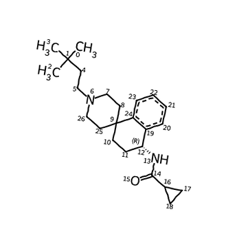 CC(C)(C)CCN1CCC2(CC[C@@H](NC(=O)C3CC3)c3ccccc32)CC1